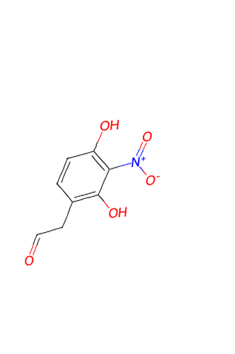 O=CCc1ccc(O)c([N+](=O)[O-])c1O